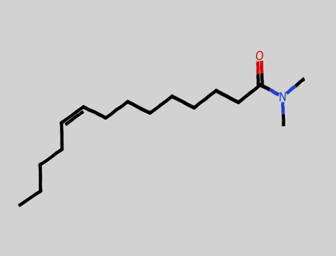 CCCC/C=C\CCCCCCCC(=O)N(C)C